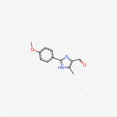 COc1ccc(-c2nc(C=O)c(C)[nH]2)cc1